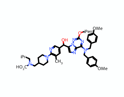 CCCC(C)Oc1nc(N(Cc2ccc(OC)cc2)Cc2ccc(OC)cc2)c2ncc(C(O)c3cnc(N4CCC(CN(CC(C)C)C(=O)O)CC4)c(C)c3)n2n1